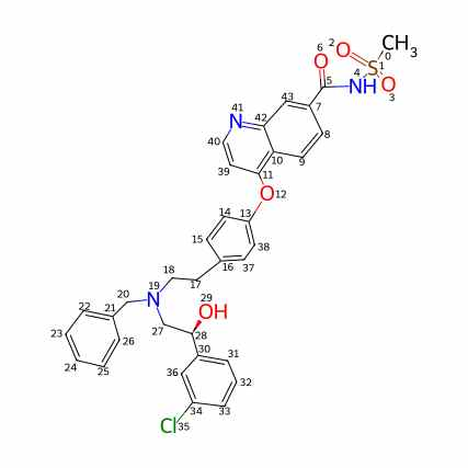 CS(=O)(=O)NC(=O)c1ccc2c(Oc3ccc(CCN(Cc4ccccc4)C[C@@H](O)c4cccc(Cl)c4)cc3)ccnc2c1